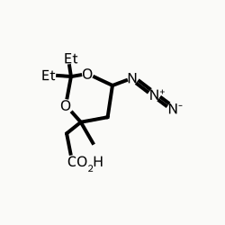 CCC1(CC)OC(N=[N+]=[N-])CC(C)(CC(=O)O)O1